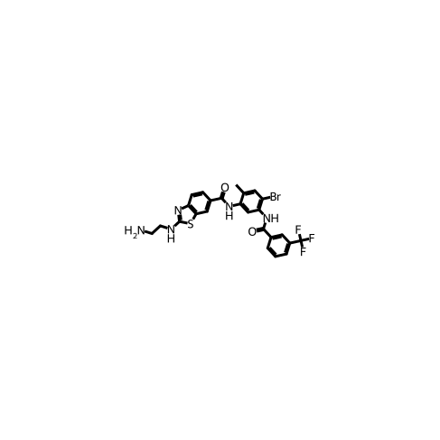 Cc1cc(Br)c(NC(=O)c2cccc(C(F)(F)F)c2)cc1NC(=O)c1ccc2nc(NCCN)sc2c1